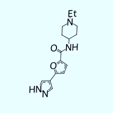 CCN1CCC(NC(=O)c2ccc(-c3cn[nH]c3)o2)CC1